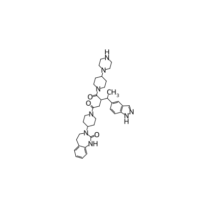 CC(c1ccc2[nH]ncc2c1)C(CC(=O)N1CCC(N2CCc3ccccc3NC2=O)CC1)C(=O)N1CCC(N2CCNCC2)CC1